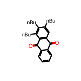 CCCCc1cc2c(c(CCCC)c1CCCC)C(=O)c1ccccc1C2=O